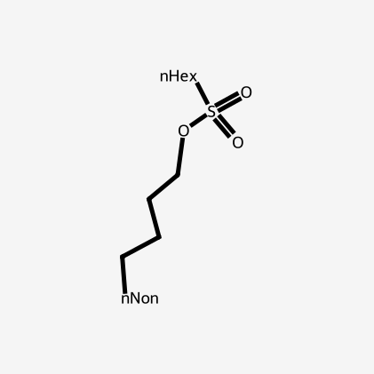 CCCCCCCCCCCCCOS(=O)(=O)CCCCCC